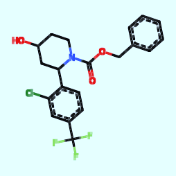 O=C(OCc1ccccc1)N1CCC(O)CC1c1ccc(C(F)(F)F)cc1Cl